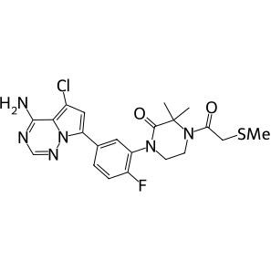 CSCC(=O)N1CCN(c2cc(-c3cc(Cl)c4c(N)ncnn34)ccc2F)C(=O)C1(C)C